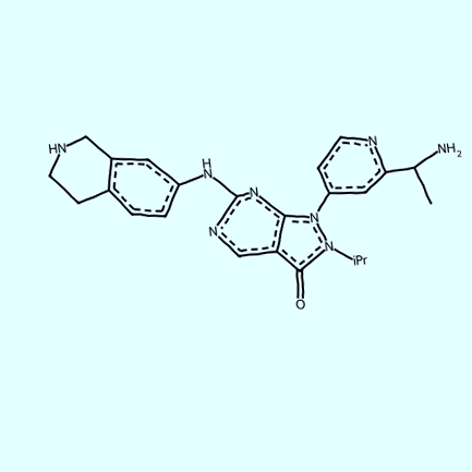 CC(N)c1cc(-n2c3nc(Nc4ccc5c(c4)CNCC5)ncc3c(=O)n2C(C)C)ccn1